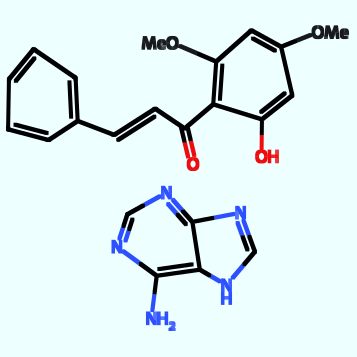 COc1cc(O)c(C(=O)C=Cc2ccccc2)c(OC)c1.Nc1ncnc2nc[nH]c12